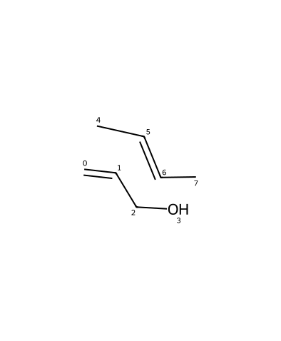 C=CCO.CC=CC